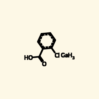 O=C(O)c1ccccc1Cl.[GaH3]